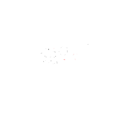 CCCCCc1cc2c(c(O)c1C(=O)O)[C@@H]1[C@H]3[C@H](CC[C@@]3(C)O2)C1(C)C